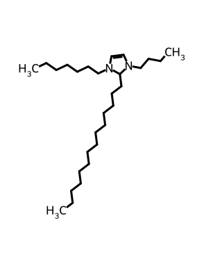 CCCCCCCCCCCCCCC1N(CCCC)C=CN1CCCCCCC